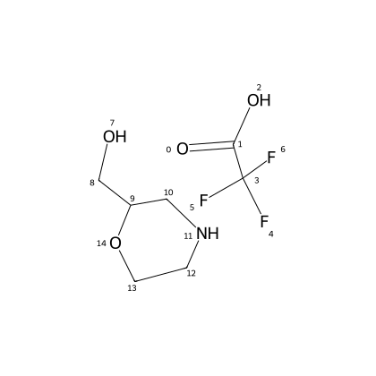 O=C(O)C(F)(F)F.OCC1CNCCO1